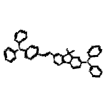 CC1(C)c2cc(/C=C/c3ccc(N(c4ccccc4)c4ccccc4)cc3)ccc2C2C=CC(N(c3ccccc3)c3ccccc3)=CC21